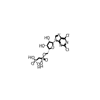 O=P(O)(O)CP(=O)(O)OC[C@H]1O[C@@H](n2cnc3c(Cl)nc(Cl)nc32)[C@@H](O)[C@H]1O